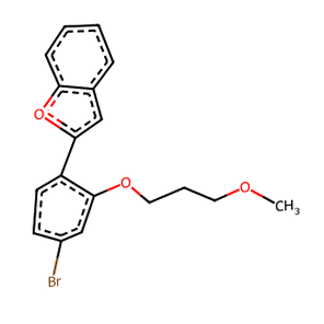 COCCCOc1cc(Br)ccc1-c1cc2ccccc2o1